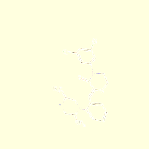 CC1CN(c2ccccc2/C=C2\SCCN(c3cc(Cl)cc(Cl)c3)C2=O)C(C)CN1